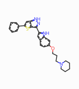 c1ccc(-c2cc3[nH]nc(-c4cc5ccc(OCCCN6CCCCC6)cc5[nH]4)c3s2)cc1